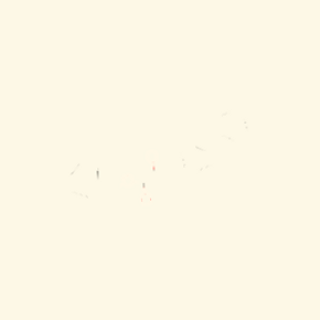 O=C(Cc1ccc(-c2ccccc2)cc1)C(=O)OCc1ccccc1